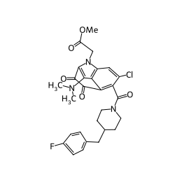 COC(=O)Cn1c2c(N(C)C)c3c(c(C(=O)N4CCC(Cc5ccc(F)cc5)CC4)c(Cl)cc31)C(=O)C2=O